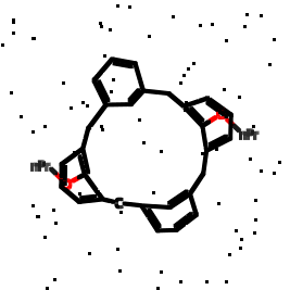 CCCOc1c2cccc1Cc1cccc(c1)Cc1cccc(c1OCCC)Cc1cccc(c1)C2